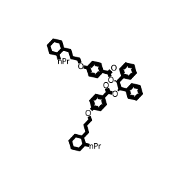 CCCC1CCCCC1CCCOc1ccc(C(=O)O[C@H](c2ccccc2)[C@H](OC(=O)c2ccc(OCCCC3CCCCC3CCC)cc2)c2ccccc2)cc1